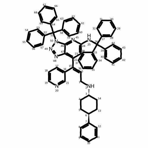 C(/CN[C@H]1CC[C@H](c2ccccc2)CC1)=C(/c1cccnc1)c1cc(NC(c2ccccc2)(c2ccccc2)c2ccccc2)nc2c1nnn2C(c1ccccc1)(c1ccccc1)c1ccccc1